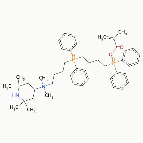 C=C(C)C(=O)O[PH](CCCC[PH](CCCC[N+](C)(C)C1CC(C)(C)NC(C)(C)C1)(c1ccccc1)c1ccccc1)(c1ccccc1)c1ccccc1